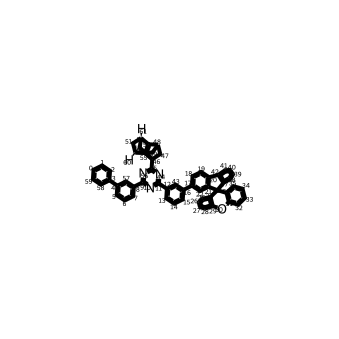 c1ccc(-c2cccc(-c3nc(-c4cccc(-c5ccc6c(c5)C5(c7ccccc7Oc7ccccc75)c5ccccc5-6)c4)nc(C45CC6C[C@@H]7C[C@H](C4)C6=C75)n3)c2)cc1